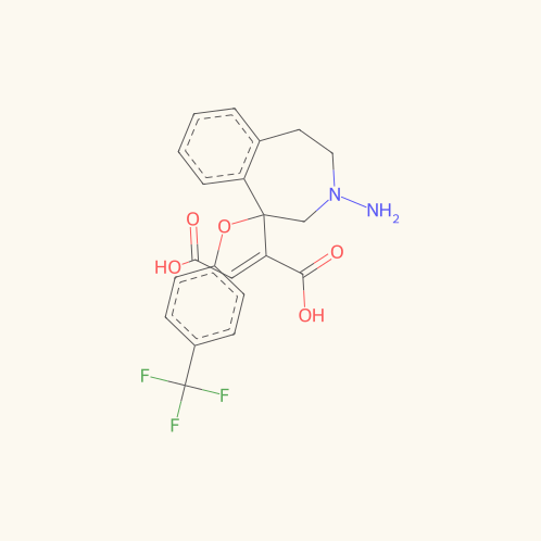 NN1CCc2ccccc2C(Oc2ccc(C(F)(F)F)cc2)(C(=CC(=O)O)C(=O)O)C1